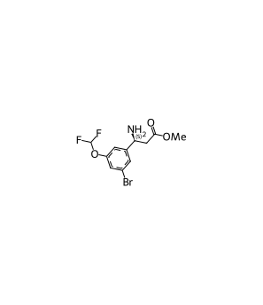 COC(=O)C[C@H](N)c1cc(Br)cc(OC(F)F)c1